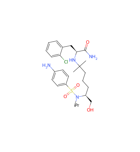 CC(C)N([C@H](CO)CCCC(C)(C)N[C@@H](Cc1ccccc1Cl)C(N)=O)S(=O)(=O)c1ccc(N)cc1